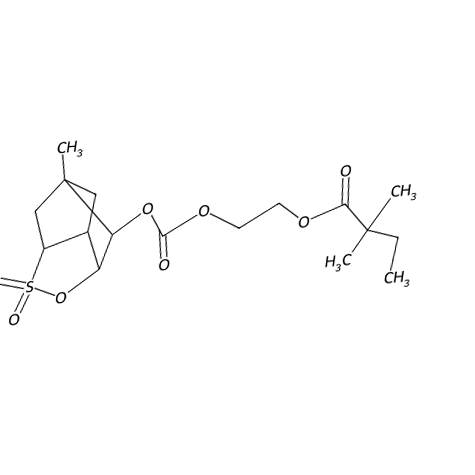 CCC(C)(C)C(=O)OCCOC(=O)OC1C2OS(=O)(=O)C3CC1(C)CC23